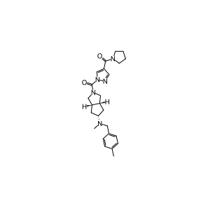 Cc1ccc(CN(C)[C@@H]2C[C@@H]3CN(C(=O)n4cc(C(=O)N5CCCC5)cn4)C[C@@H]3C2)cc1